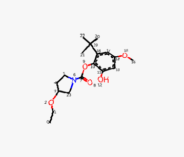 CCOC1CCN(C(=O)Oc2c(O)cc(OC)cc2C(C)(C)C)C1